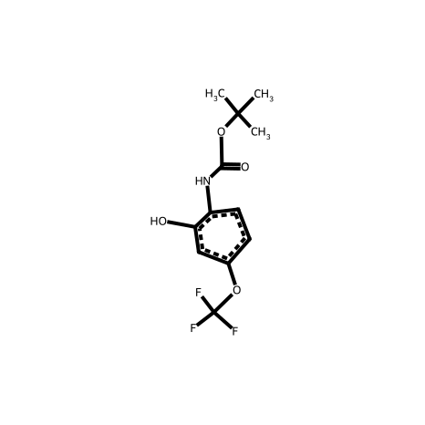 CC(C)(C)OC(=O)Nc1ccc(OC(F)(F)F)cc1O